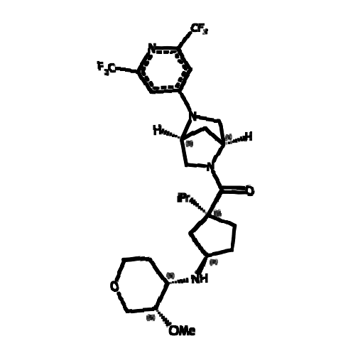 CO[C@@H]1COCC[C@@H]1N[C@@H]1CC[C@@](C(=O)N2C[C@@H]3C[C@H]2CN3c2cc(C(F)(F)F)nc(C(F)(F)F)c2)(C(C)C)C1